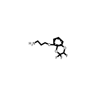 NCCCOc1cccc2c1OC(F)(F)C(F)O2